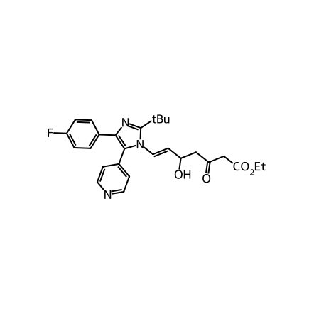 CCOC(=O)CC(=O)CC(O)/C=C/n1c(C(C)(C)C)nc(-c2ccc(F)cc2)c1-c1ccncc1